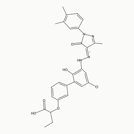 CCC(Oc1cccc(-c2cc(Cl)cc(N/N=C3\C(=O)N(c4ccc(C)c(C)c4)N=C3C)c2O)c1)C(=O)O